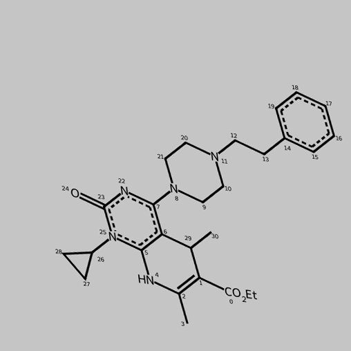 CCOC(=O)C1=C(C)Nc2c(c(N3CCN(CCc4ccccc4)CC3)nc(=O)n2C2CC2)C1C